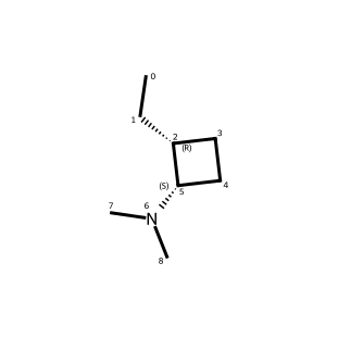 CC[C@@H]1CC[C@@H]1N(C)C